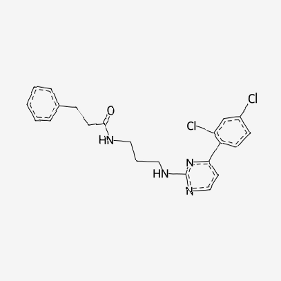 O=C(CCc1ccccc1)NCCCNc1nccc(-c2ccc(Cl)cc2Cl)n1